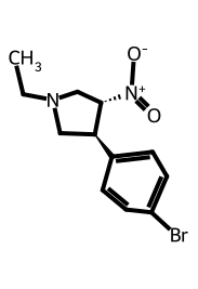 CCN1C[C@H](c2ccc(Br)cc2)[C@@H]([N+](=O)[O-])C1